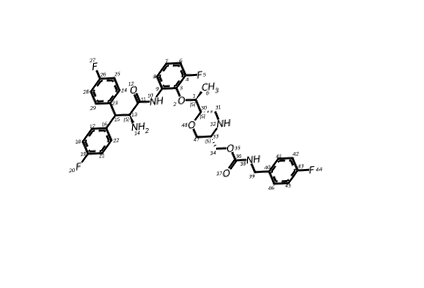 C[C@H](Oc1c(F)cccc1NC(=O)[C@@H](N)C(c1ccc(F)cc1)c1ccc(F)cc1)[C@@H]1CN[C@H](COC(=O)NCc2ccc(F)cc2)CO1